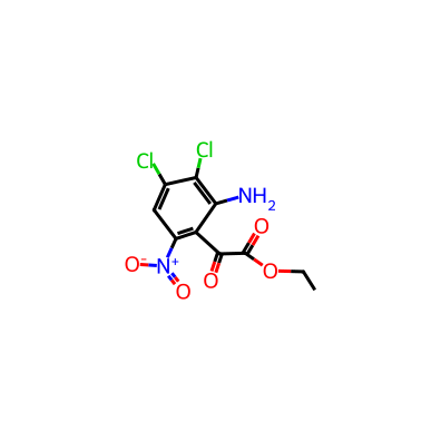 CCOC(=O)C(=O)c1c([N+](=O)[O-])cc(Cl)c(Cl)c1N